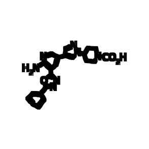 Nc1ncc(-c2cnn(C3CCN(C(=O)O)CC3)c2)cc1-c1nnc(-c2ccccc2)o1